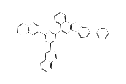 C1=Cc2ccc(-c3nc(-c4ccc5ccccc5c4)nc(-c4cc5c6ccc(-c7ccccc7)cc6oc5c5ccccc45)n3)cc2CC1